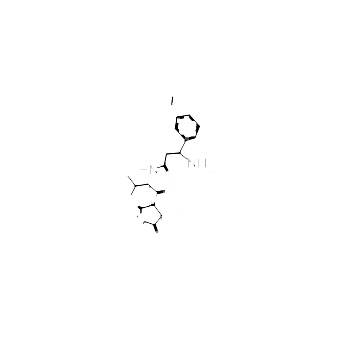 COc1cccc(C(N)CC(=O)N[C@H](C(=O)[C@@H]2C(=O)NC(=O)[C@H]2C)C(C)C)c1